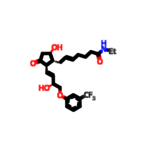 CCNC(=O)CCCC=CC[C@H]1[C@@H](O)CC(=O)[C@@H]1C=C[C@@H](O)COc1cccc(C(F)(F)F)c1